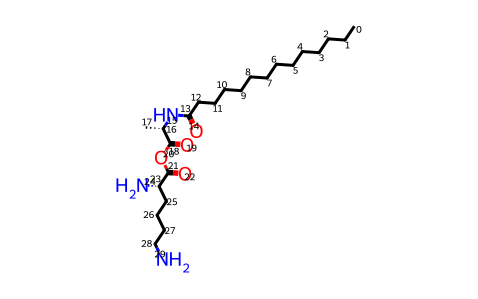 CCCCCCCCCCCCCC(=O)N[C@@H](C)C(=O)OC(=O)[C@@H](N)CCCCN